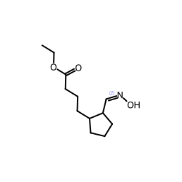 CCOC(=O)CCCC1CCCC1/C=N\O